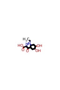 CCn1nc(C(=O)O)c(=O)c2cc(O)c(O)cc21